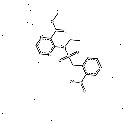 CCN(c1nccnc1C(=O)OC)S(=O)(=O)Cc1ccccc1[N+](=O)[O-]